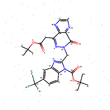 CC(C)(C)OC(=O)Cc1nn(Cc2nc3cc(C(F)(F)F)ccc3n2C(=O)OC(C)(C)C)c(=O)c2nccnc12